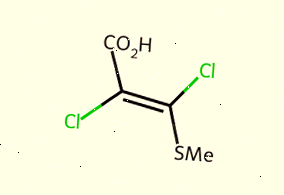 CS/C(Cl)=C(\Cl)C(=O)O